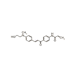 C=CC(=O)Nc1ccc(C(=O)/C=C/c2ccc(N(C)CCO)cc2)cc1